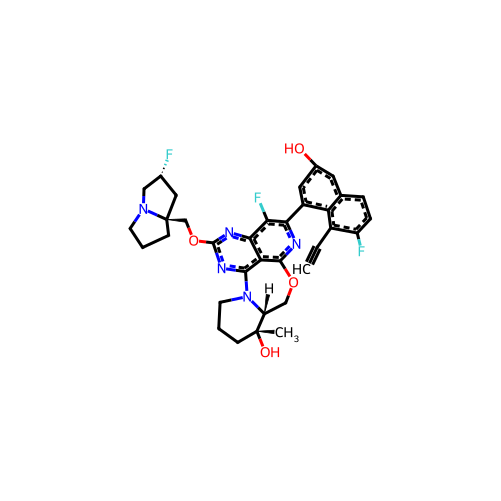 C#Cc1c(F)ccc2cc(O)cc(-c3nc4c5c(nc(OC[C@@]67CCCN6C[C@H](F)C7)nc5c3F)N3CCC[C@@](C)(O)[C@H]3CO4)c12